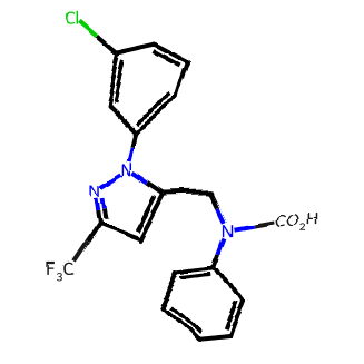 O=C(O)N(Cc1cc(C(F)(F)F)nn1-c1cccc(Cl)c1)c1ccccc1